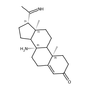 CC(=N)[C@H]1CCC2[C@]3(N)CCC4=CC(=O)CC[C@]4(C)C3CC[C@@]21C